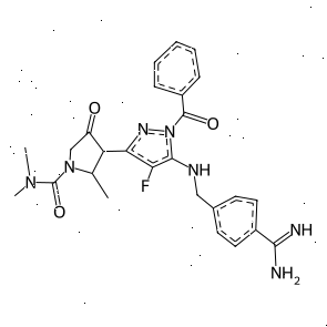 CC1C(c2nn(C(=O)c3ccccc3)c(NCc3ccc(C(=N)N)cc3)c2F)C(=O)CN1C(=O)N(C)C